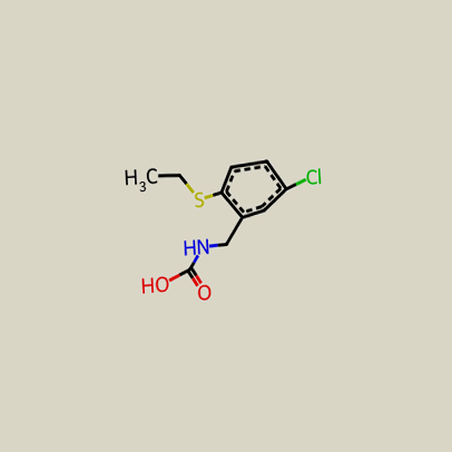 CCSc1ccc(Cl)cc1CNC(=O)O